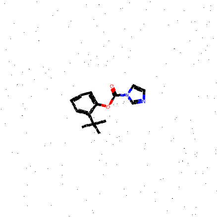 CC(C)(C)c1ccccc1OC(=O)n1ccnc1